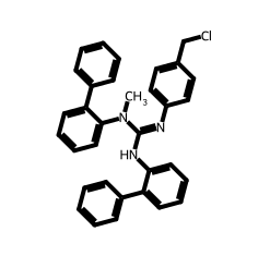 CN(C(=Nc1ccc(CCl)cc1)Nc1ccccc1-c1ccccc1)c1ccccc1-c1ccccc1